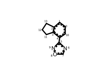 c1cc2c(c(-c3ncon3)c1)CCC2